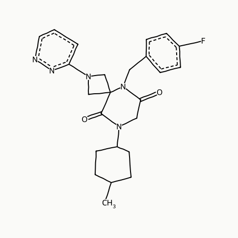 CC1CCC(N2CC(=O)N(Cc3ccc(F)cc3)C3(CN(c4cccnn4)C3)C2=O)CC1